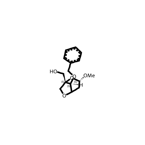 CO[C@@H]1CC2OC[C@](CO)(O1)[C@H]2OCc1ccccc1